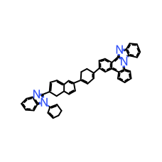 C1=CC(n2c(C3=CC=C4C=C(C5=CC=C(c6ccc7c(c6)c6ccccc6n6c8ccccc8nc76)CC5)C=CC4C3)nc3ccccc32)=CCC1